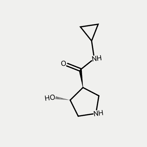 O=C(NC1CC1)[C@H]1CNC[C@@H]1O